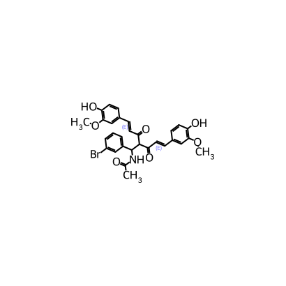 COc1cc(/C=C/C(=O)C(C(=O)/C=C/c2ccc(O)c(OC)c2)C(NC(C)=O)c2cccc(Br)c2)ccc1O